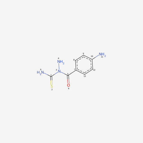 NC(=S)N(N)C(=O)c1ccc(N)cc1